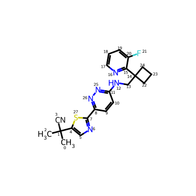 CC(C)(C#N)c1cnc(-c2ccc(NCC3(c4ncccc4F)CCC3)nn2)s1